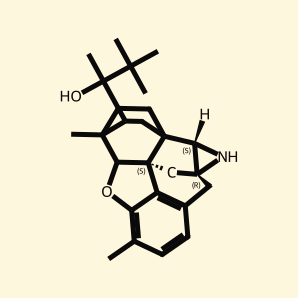 Cc1ccc2c3c1OC1C4(C)CCC5(CC4C(C)(O)C(C)(C)C)[C@@H]4N[C@]4(C2)C[C@]315